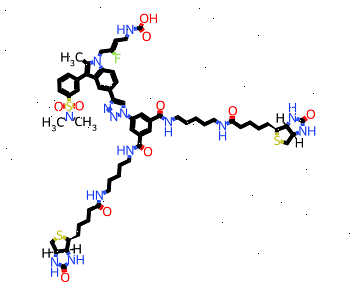 Cc1c(-c2cccc(S(=O)(=O)N(C)C)c2)c2cc(-c3cn(-c4cc(C(=O)NCCCCCNC(=O)CCCC[C@@H]5SC[C@@H]6NC(=O)N[C@@H]65)cc(C(=O)NCCCCCNC(=O)CCCC[C@@H]5SC[C@@H]6NC(=O)N[C@@H]65)c4)nn3)ccc2n1C/C(F)=C/CNC(=O)O